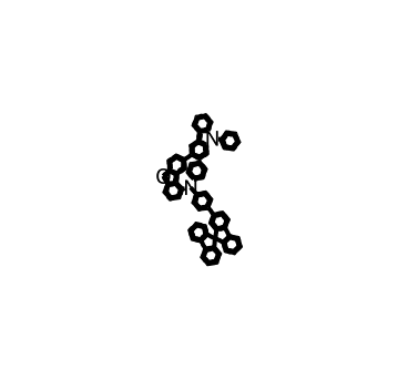 c1ccc(N(c2ccc(-c3ccc4c(c3)C3(c5ccccc5-c5ccccc53)c3ccccc3-4)cc2)c2cccc3oc4ccc(-c5ccc6c(c5)c5ccccc5n6-c5ccccc5)cc4c23)cc1